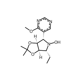 CC[C@@H]1[C@H]2OC(C)(C)O[C@H]2[C@H](c2cncnc2OC)N1O